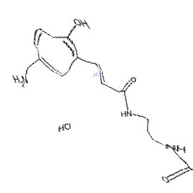 CC(=O)NCCNC(=O)/C=C/c1cc(N)ccc1O.Cl